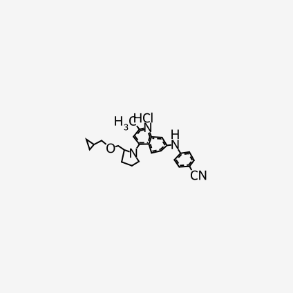 Cc1cc(N2CCCC2COCC2CC2)c2ccc(Nc3ccc(C#N)cc3)cc2n1.Cl